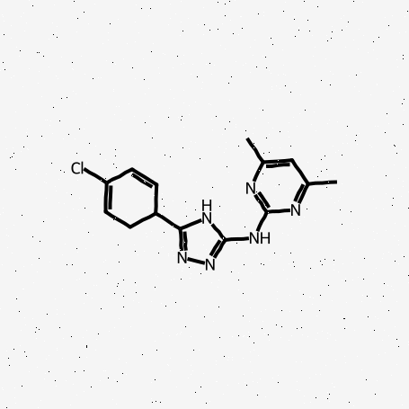 Cc1cc(C)nc(Nc2nnc(C3C=CC(Cl)=CC3)[nH]2)n1